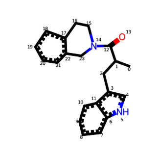 C[C](Cc1c[nH]c2ccccc12)C(=O)N1CCc2ccccc2C1